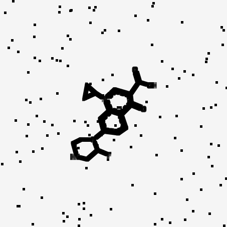 O=C(O)c1cn(C2CC2)c2cc(N3CCNCC3F)ccc2c1=O